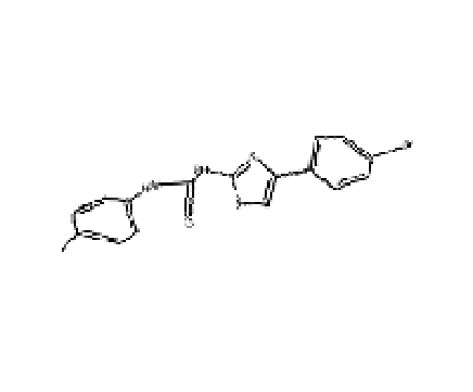 Cc1ccc(NC(=O)Nc2nc(-c3ccc(Br)cc3)cs2)cc1